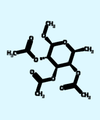 CO[C@H]1O[C@@H](C)[C@@H](OC(C)=O)[C@@H](OC(C)=O)[C@@H]1OC(C)=O